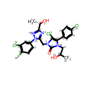 C[C@H](O)c1nc(Cn2c(Cl)c(-c3ccc(Cl)cc3)n(CC(O)C(F)(F)F)c2=O)n(-c2ccc(F)c(Cl)c2)n1